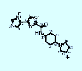 Cn1cncc1-c1csc(C(=O)NC2CCC(N3CC[C@H](F)C3)CC2)n1